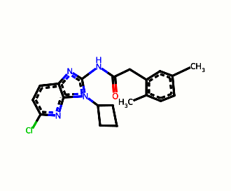 Cc1ccc(C)c(CC(=O)Nc2nc3ccc(Cl)nc3n2C2CCC2)c1